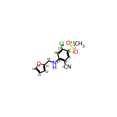 CS(=O)(=O)c1cc(C#N)c(NCc2ccco2)cc1Cl